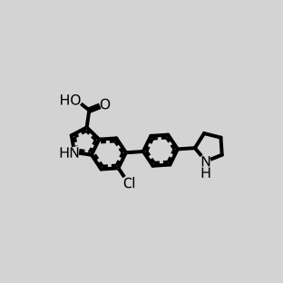 O=C(O)c1c[nH]c2cc(Cl)c(-c3ccc(C4CCCN4)cc3)cc12